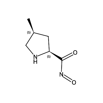 C[C@@H]1CN[C@H](C(=O)N=O)C1